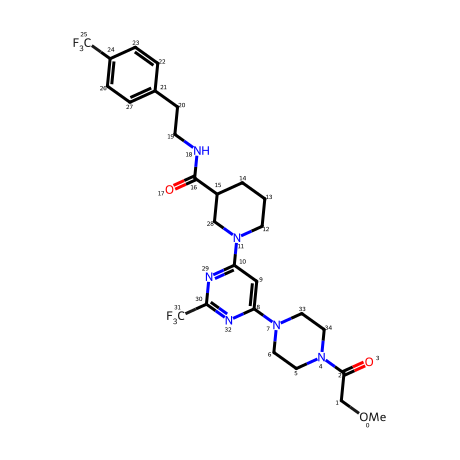 COCC(=O)N1CCN(c2cc(N3CCCC(C(=O)NCCc4ccc(C(F)(F)F)cc4)C3)nc(C(F)(F)F)n2)CC1